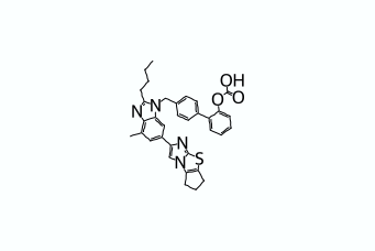 CCCCc1nc2c(C)cc(-c3cn4c5c(sc4n3)CCC5)cc2n1Cc1ccc(-c2ccccc2OC(=O)O)cc1